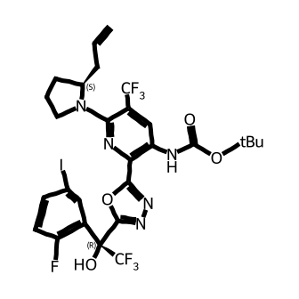 C=CC[C@@H]1CCCN1c1nc(-c2nnc([C@](O)(c3cc(I)ccc3F)C(F)(F)F)o2)c(NC(=O)OC(C)(C)C)cc1C(F)(F)F